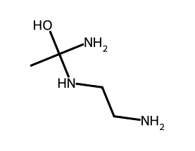 CC(N)(O)NCCN